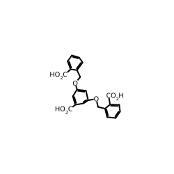 O=C(O)c1cc(OCc2ccccc2C(=O)O)cc(OCc2ccccc2C(=O)O)c1